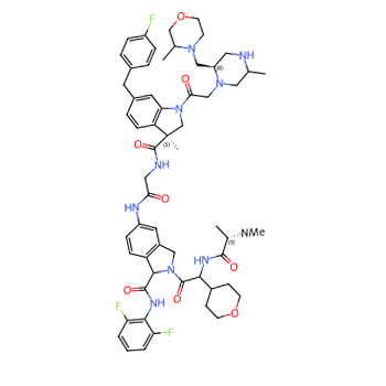 CN[C@@H](C)C(=O)NC(C(=O)N1Cc2cc(NC(=O)CNC(=O)[C@]3(C)CN(C(=O)CN4CC(C)NC[C@@H]4CN4CCOCC4C)c4cc(Cc5ccc(F)cc5)ccc43)ccc2C1C(=O)Nc1c(F)cccc1F)C1CCOCC1